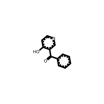 O=C(c1ccccc1)c1cnccc1O